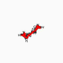 C[C@@H]1CN([C@H]2Cc3c(C#N)cc(Cl)cc3[C@@H]2Oc2ccc(S(=O)(=O)N[C@@H]3CCN(C(=O)CCCNC(=O)NCCCCNC(=O)NCCCC(=O)N4CC[C@@H](NS(=O)(=O)c5ccc(O[C@H]6c7cc(Cl)cc(C#N)c7C[C@@H]6N6CCN[C@H](C)C6)cc5)C4)C3)cc2)CCN1